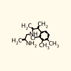 C=C(N)CNC(=C)C(=C)c1ccc(C)c(C)c1Cl